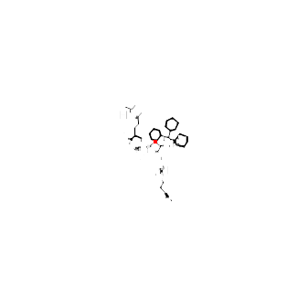 CC(C)NC(C)CCc1cn([C@H]2CC(NC(c3ccccc3)(c3ccccc3)c3ccccc3)[C@@H](COPOCCC#N)O2)c(=O)[nH]c1=O